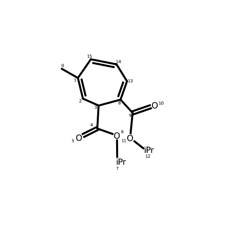 CC1=CC(C(=O)OC(C)C)C(C(=O)OC(C)C)=CC=C1